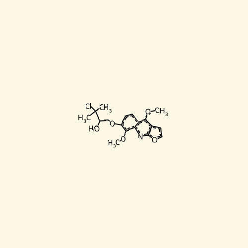 COc1c2ccoc2nc2c(OC)c(OCC(O)C(C)(C)Cl)ccc12